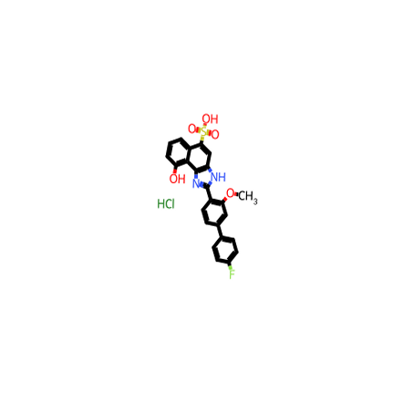 COc1cc(-c2ccc(F)cc2)ccc1-c1nc2c(cc(S(=O)(=O)O)c3cccc(O)c32)[nH]1.Cl